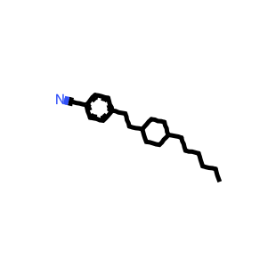 CCCCCCC1CCC(CCc2ccc(C#N)cc2)CC1